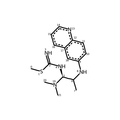 CSC(=N)N[C@@H](C(C)Nc1ccc2ncccc2c1)N(C)C